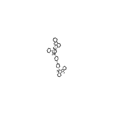 c1ccc(-c2nc(-c3ccc(-c4ccc(-c5nc6ccccc6c6sc7ccccc7c56)cc4)cc3)cc(-c3cccc4c3sc3ccccc34)n2)cc1